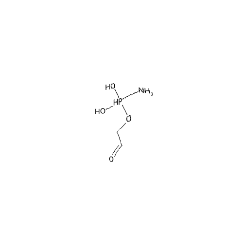 N[PH](O)(O)OCC=O